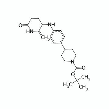 C=C1NC(=O)CCC1Nc1ccc(C2CCN(C(=O)OC(C)(C)C)CC2)cc1